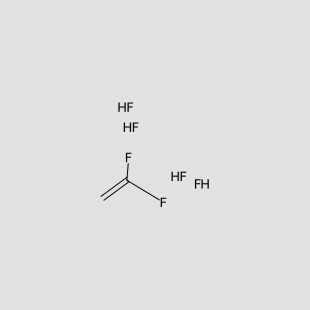 C=C(F)F.F.F.F.F